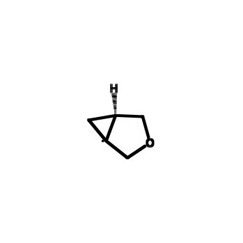 C1OC[C@@H]2C[C]12